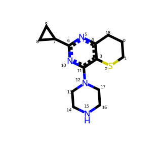 C1CSc2c(nc(C3CC3)nc2N2CCNCC2)C1